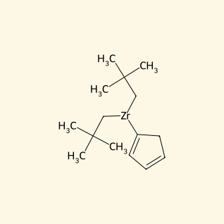 CC(C)(C)[CH2][Zr]([CH2]C(C)(C)C)[C]1=CC=CC1